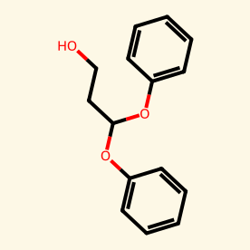 OCCC(Oc1ccccc1)Oc1ccccc1